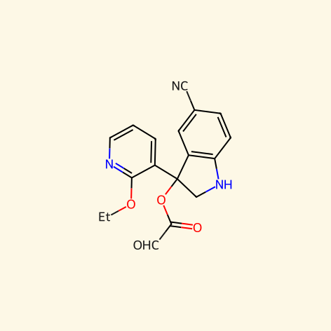 CCOc1ncccc1C1(OC(=O)C=O)CNc2ccc(C#N)cc21